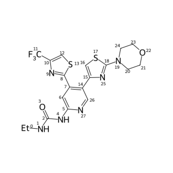 CCNC(=O)Nc1cc(-c2nc(C(F)(F)F)cs2)c(-c2csc(N3CCOCC3)n2)cn1